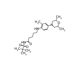 Cc1cc(N2CC(C)OC(C)C2)ccc1NCCCCC(=O)NS(=O)(=O)C(C)(C)C